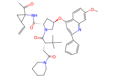 C=CC1CC1(NC(=O)[C@@H]1C[C@@H](Oc2cc(-c3ccccc3)nc3cc(OC)ccc23)CN1C(=O)[C@@H](CC(=O)N1CCCCC1)C(C)(C)C)C(C)=O